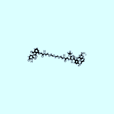 CN(Cc1cnc2nc(N)nc(N)c2n1)c1ccc(C(=O)N[C@@H](CCC(=O)NCCOCCOCCOCCNC(=O)COc2cccc3c2C(=O)N(C2CCC(=O)NC2=O)C3=O)C(=O)OC(C)(C)C)cc1